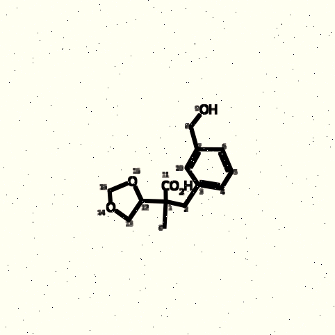 CC(Cc1cccc(CO)c1)(C(=O)O)C1COCO1